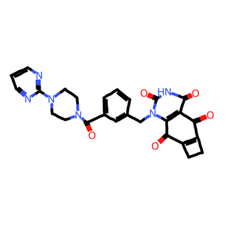 O=C1C2=C(CC2)C(=O)c2c1c(=O)[nH]c(=O)n2Cc1cccc(C(=O)N2CCN(c3ncccn3)CC2)c1